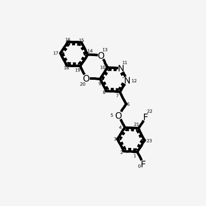 Fc1ccc(OCc2cc3c(nn2)Oc2ccccc2O3)c(F)c1